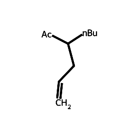 C=CCC(CCCC)C(C)=O